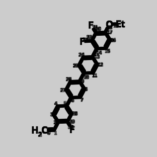 C=Cc1ccc(-c2ccc(-c3ccc(-c4ccc(OCC)c(F)c4F)cc3)cc2)cc1F